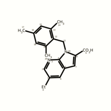 CCc1cnc2c(c1)cc(C(=O)O)n2Cc1c(C)cc(C)cc1C